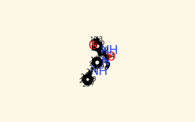 CCN(C(=O)c1cc2c([nH]1)CC(C)(C)OC2)[C@H]1CCC[C@@H](NCc2ccccc2)C1